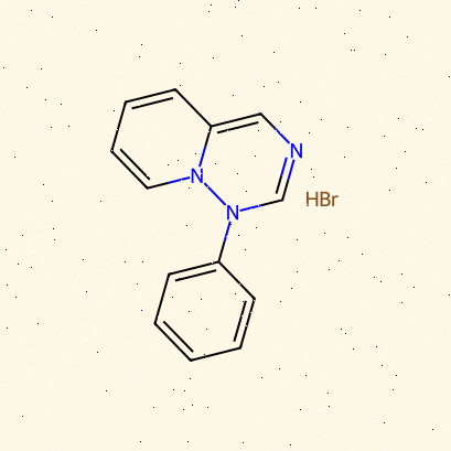 Br.C1=CC2=CN=CN(c3ccccc3)N2C=C1